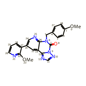 COc1ccc(Cn2c(=O)n3ncnc3c3cc(-c4cccnc4OC)cnc32)cc1